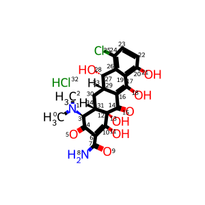 CN(C)[C@@H]1C(=O)C(C(N)=O)=C(O)[C@@]2(O)C(=O)C3=C(O)c4c(O)ccc(Cl)c4[C@@H](O)[C@H]3C[C@@H]12.Cl